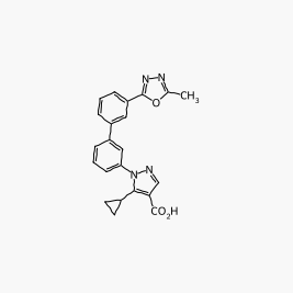 Cc1nnc(-c2cccc(-c3cccc(-n4ncc(C(=O)O)c4C4CC4)c3)c2)o1